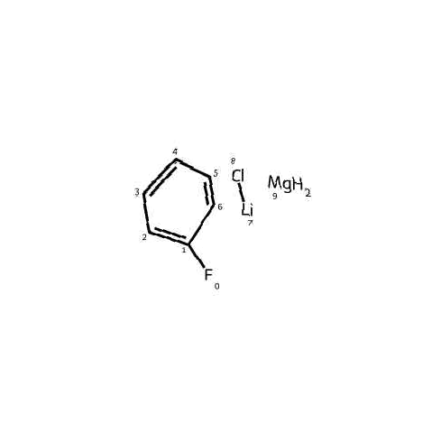 Fc1cc[c]cc1.[Li][Cl].[MgH2]